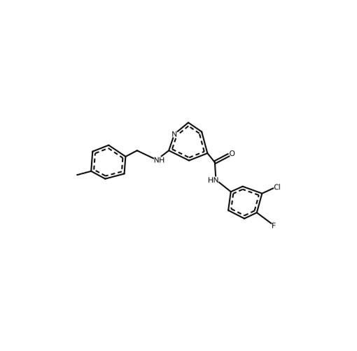 Cc1ccc(CNc2cc(C(=O)Nc3ccc(F)c(Cl)c3)ccn2)cc1